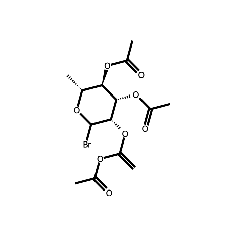 C=C(OC(C)=O)O[C@@H]1C(Br)O[C@H](C)[C@@H](OC(C)=O)[C@@H]1OC(C)=O